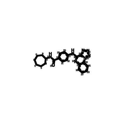 O=C(NC1CCCCCC1)c1ccc(Nc2nc3ccccc3n3nnnc23)cc1